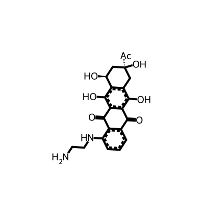 CC(=O)[C@]1(O)Cc2c(O)c3c(c(O)c2[C@@H](O)C1)C(=O)c1c(NCCN)cccc1C3=O